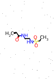 C=CC(=O)NCCNS(=O)(=O)CC